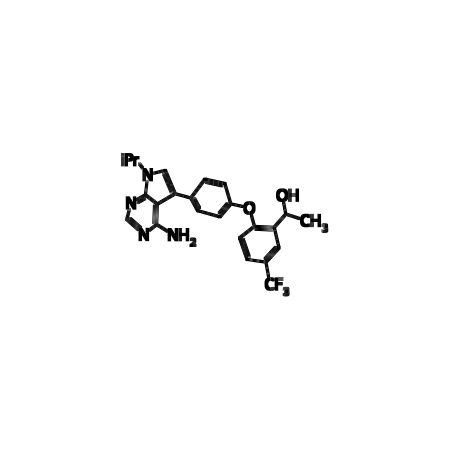 CC(O)c1cc(C(F)(F)F)ccc1Oc1ccc(-c2cn(C(C)C)c3ncnc(N)c23)cc1